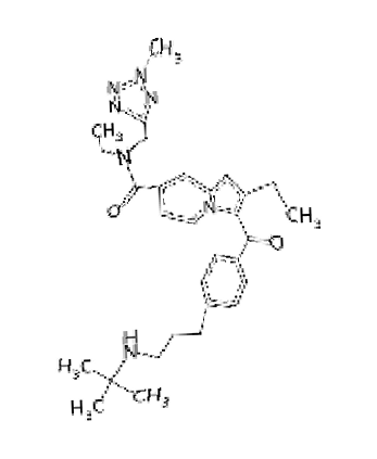 CCc1cc2cc(C(=O)N(CC)Cc3nnn(C)n3)ccn2c1C(=O)c1ccc(CCCNC(C)(C)C)cc1